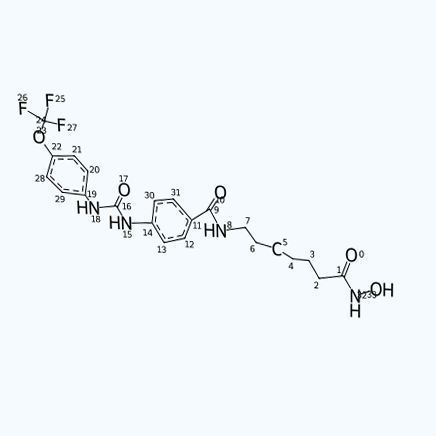 O=C(CCCCCCNC(=O)c1ccc(NC(=O)Nc2ccc(OC(F)(F)F)cc2)cc1)NO